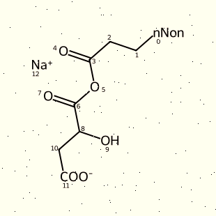 CCCCCCCCCCCC(=O)OC(=O)C(O)CC(=O)[O-].[Na+]